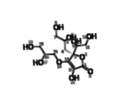 O=C1O[C@](CC(O)CO)([C@@H](O)CO)C(OCC(O)CO)=C1O